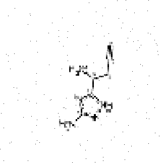 C#CC[C@H](N)c1nc(N)n[nH]1